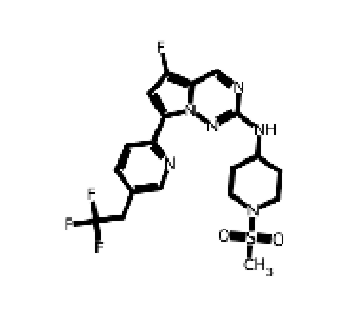 CS(=O)(=O)N1CCC(Nc2ncc3c(F)cc(-c4ccc(CC(F)(F)F)cn4)n3n2)CC1